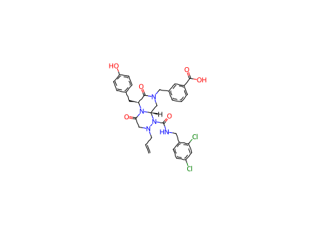 C=CCN1CC(=O)N2[C@@H](Cc3ccc(O)cc3)C(=O)N(Cc3cccc(C(=O)O)c3)C[C@@H]2N1C(=O)NCc1ccc(Cl)cc1Cl